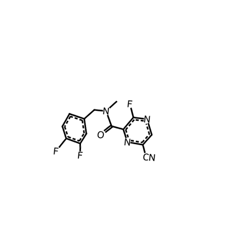 CN(Cc1ccc(F)c(F)c1)C(=O)c1nc(C#N)cnc1F